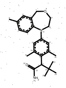 Cc1ccc2c(c1)COCCN2c1cc(C)c(C(C(N)=O)C(C)(C)C)c(C)c1